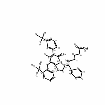 Cc1c(Cc2c(F)cccc2C(F)(F)F)c2n(c(=O)c1-c1cccc(C(C)(F)F)c1)[C@@H](C(NCCCC(=O)O)c1ccccc1)CS2